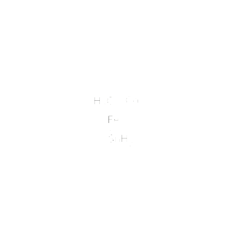 C.[Co].[Fe].[SnH2]